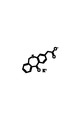 O=C([O-])Cc1ccc2c(c1)SCc1ccccc1C2=O.[K+]